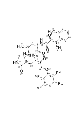 Cc1ccccc1N(C)C(=O)C(=O)N[C@@H](CC(C)C)C(=O)N[C@@H](C[C@@H]1CCNC1=O)C(=O)COc1c(F)c(F)cc(F)c1F